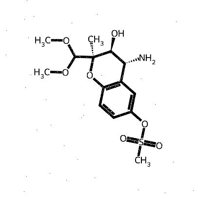 COC(OC)[C@]1(C)Oc2ccc(OS(C)(=O)=O)cc2[C@@H](N)[C@@H]1O